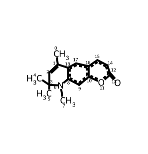 CC1=CC(C)(C)N(C)c2cc3oc(=O)ccc3cc21